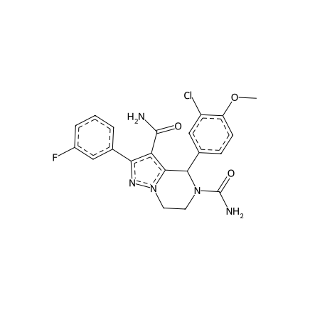 COc1ccc(C2c3c(C(N)=O)c(-c4cccc(F)c4)nn3CCN2C(N)=O)cc1Cl